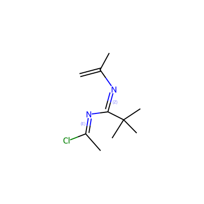 C=C(C)/N=C(\N=C(/C)Cl)C(C)(C)C